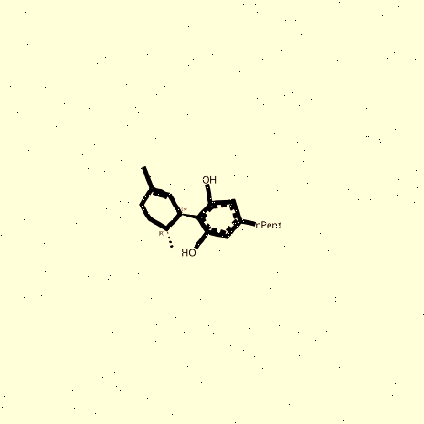 CCCCCc1cc(O)c([C@@H]2C=C(C)CC[C@H]2C)c(O)c1